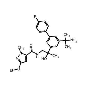 CCOc1cc(C(=O)NCC(C)(O)c2cc(C(C)(C)N)cc(-c3ccc(F)cc3)n2)n(C)n1